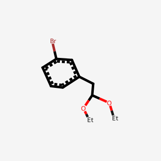 CCOC(Cc1cccc(Br)c1)OCC